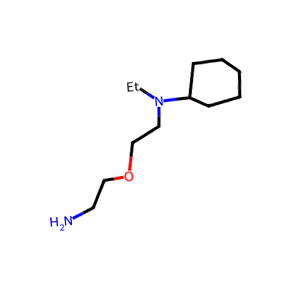 CCN(CCOCCN)C1CCCCC1